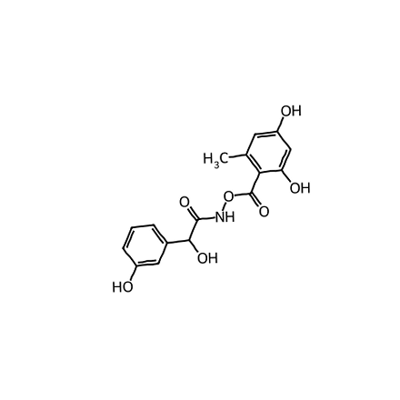 Cc1cc(O)cc(O)c1C(=O)ONC(=O)C(O)c1cccc(O)c1